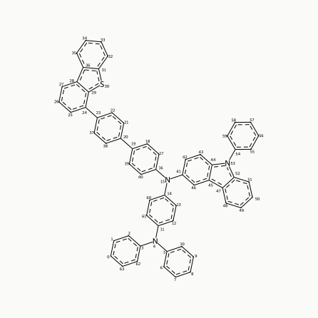 c1ccc(N(c2ccccc2)c2ccc(N(c3ccc(-c4ccc(-c5cccc6c5sc5ccccc56)cc4)cc3)c3ccc4c(c3)c3ccccc3n4-c3ccccc3)cc2)cc1